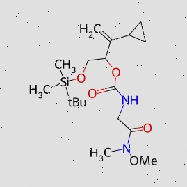 C=C(C1CC1)C(CO[Si](C)(C)C(C)(C)C)OC(=O)NCC(=O)N(C)OC